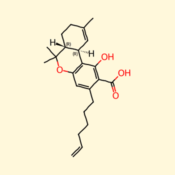 C=CCCCCc1cc2c(c(O)c1C(=O)O)[C@@H]1C=C(C)CC[C@H]1C(C)(C)O2